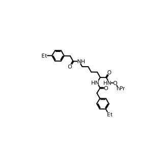 CCCONC(=O)C(CCCCNC(=O)Cc1ccc(CC)cc1)NC(=O)Cc1ccc(CC)cc1